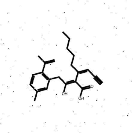 C#C/C=C(CCCCC)\C(C(=O)O)=C(\O)Cc1cc(C)ccc1C(=C)C